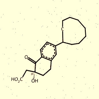 O=C(O)C[C@]1(O)CCc2cc(C3CCCCCCCC3)ccc2C1=O